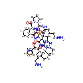 NCCCCC(NC(=O)[C@@]1(c2nccs2)C(C(=O)C(CCCCN)NC(=O)[C@@H]2CCCN2C(=O)C2NCCC3CCCCC32)CCN1C(=O)C1NCCC2CCCCC21)C(=O)c1cs[c]n1